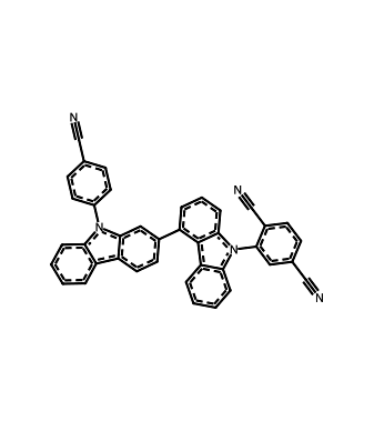 N#Cc1ccc(-n2c3ccccc3c3ccc(-c4cccc5c4c4ccccc4n5-c4cc(C#N)ccc4C#N)cc32)cc1